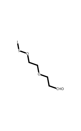 O=CCCOCCOSI